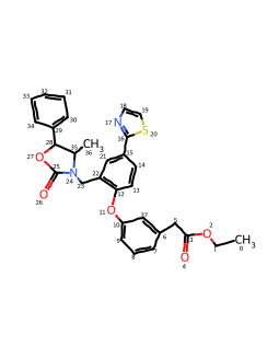 CCOC(=O)Cc1cccc(Oc2ccc(-c3nccs3)cc2CN2C(=O)OC(c3ccccc3)C2C)c1